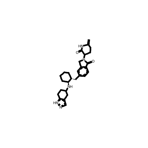 C=C1CCC(N2Cc3cc(C[C@H]4CCCC[C@@H]4NC4CCc5[nH]ncc5C4)ccc3C2=O)C(=O)N1